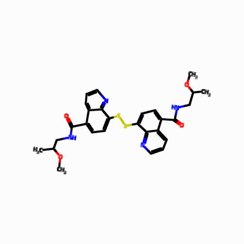 COC(C)CNC(=O)c1ccc(SSc2ccc(C(=O)NCC(C)OC)c3cccnc23)c2ncccc12